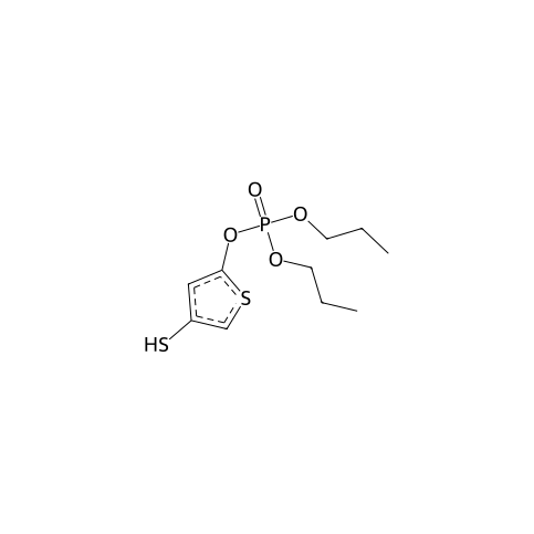 CCCOP(=O)(OCCC)Oc1cc(S)cs1